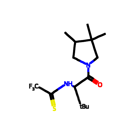 CC1CN(C(=O)C(NC(=S)C(F)(F)F)C(C)(C)C)CC1(C)C